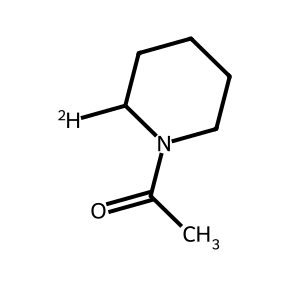 [2H]C1CCCCN1C(C)=O